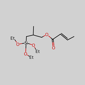 CC=CC(=O)OCC(C)C[Si](OCC)(OCC)OCC